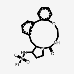 CCS(=O)(=O)NC1CCN2C(=O)NCCOc3ccccc3-c3cccc(c3)CC12